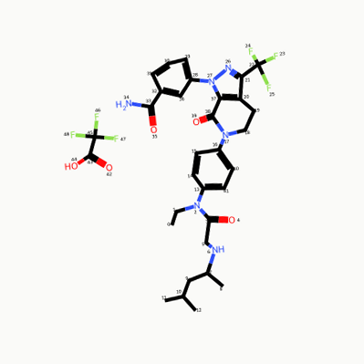 CCN(C(=O)CNC(C)CC(C)C)c1ccc(N2CCc3c(C(F)(F)F)nn(-c4cccc(C(N)=O)c4)c3C2=O)cc1.O=C(O)C(F)(F)F